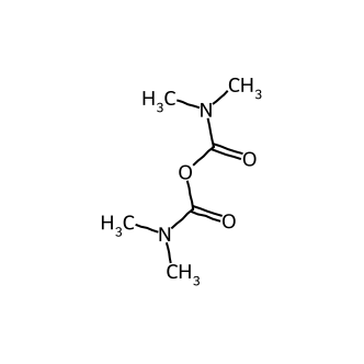 CN(C)C(=O)OC(=O)N(C)C